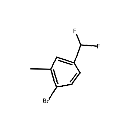 Cc1cc(C(F)F)ccc1Br